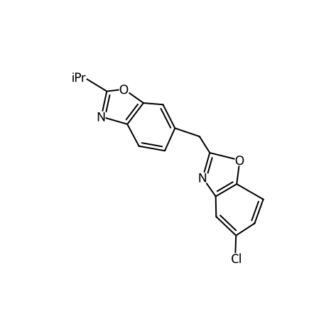 CC(C)c1nc2ccc(Cc3nc4cc(Cl)ccc4o3)cc2o1